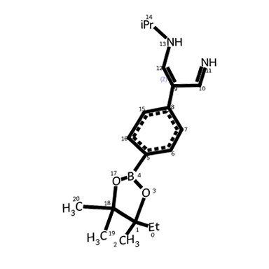 CCC1(C)OB(c2ccc(/C(C=N)=C/NC(C)C)cc2)OC1(C)C